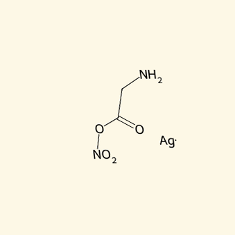 NCC(=O)O[N+](=O)[O-].[Ag]